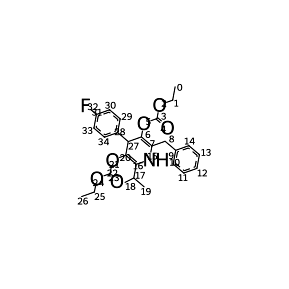 CCOC(=O)OC1=C(Cc2ccccc2)NC(C(C)C)=C(OC(=O)OCC)C1c1ccc(F)cc1